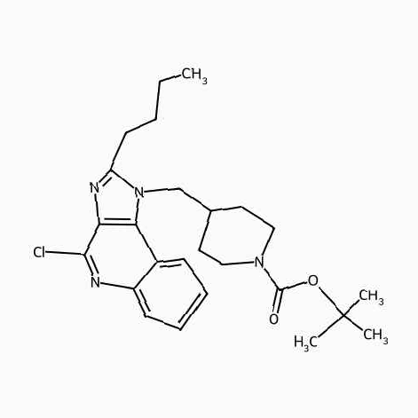 CCCCc1nc2c(Cl)nc3ccccc3c2n1CC1CCN(C(=O)OC(C)(C)C)CC1